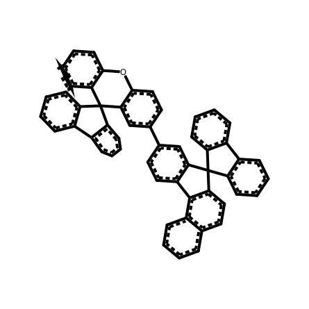 c1ccc2c(c1)-c1ccccc1C21c2cc(-c3ccc4c(c3)C3(c5ccccc5-c5ccccc53)c3c(ccc5ccccc35)O4)ccc2-c2c1ccc1ccccc21